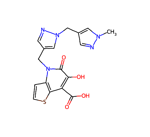 Cn1cc(Cn2cc(Cn3c(=O)c(O)c(C(=O)O)c4sccc43)cn2)cn1